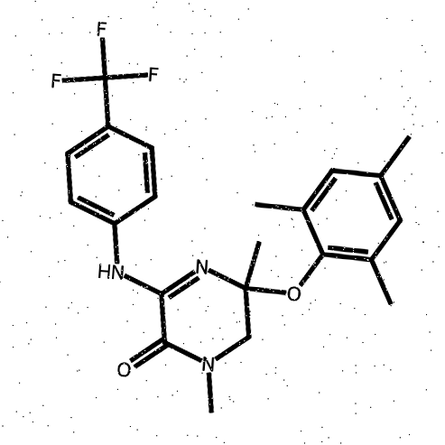 Cc1cc(C)c(OC2(C)CN(C)C(=O)C(Nc3ccc(C(F)(F)F)cc3)=N2)c(C)c1